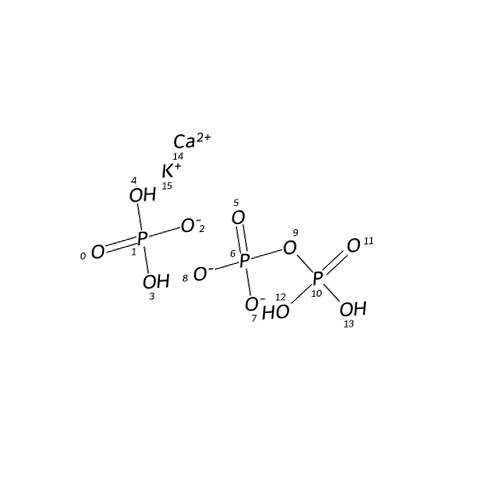 O=P([O-])(O)O.O=P([O-])([O-])OP(=O)(O)O.[Ca+2].[K+]